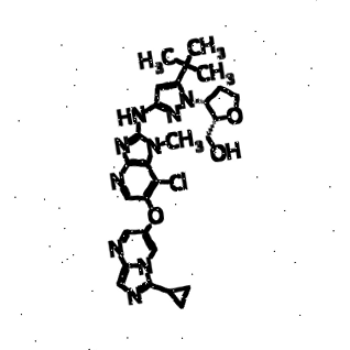 Cn1c(Nc2cc(C(C)(C)C)n([C@@H]3CCO[C@@H]3CO)n2)nc2ncc(Oc3cnc4cnc(C5CC5)n4c3)c(Cl)c21